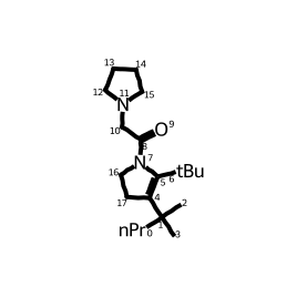 CCCC(C)(C)C1=C(C(C)(C)C)N(C(=O)CN2CCCC2)CC1